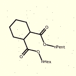 CCCCCCOC(=O)C1CCCCC1C(=O)OCCCCC